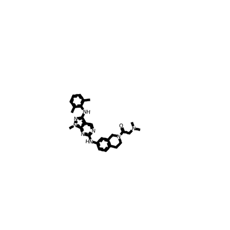 Cc1cccc(C)c1Nc1nn(C)c2nc(Nc3ccc4c(c3)CN(C(=O)CN(C)C)CC4)ncc12